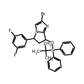 CC(C)(C)[Si](OC1CC(c2cc(F)cc(F)c2)n2cc(Br)nc21)(c1ccccc1)c1ccccc1